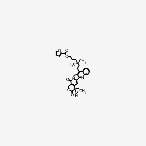 CCC1(O)C(=O)OCc2c1cc1n(c2=O)Cc2c-1nc1ccccc1c2CC[Si](C)(C)CCCOC(=O)c1ccco1